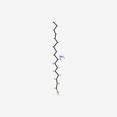 CCCCCCCCCCCCCCCCCBr.N